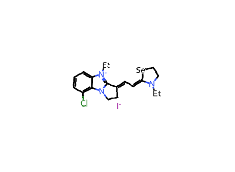 CCN1CC[Se]C1=CC=C1CCn2c1[n+](CC)c1cccc(Cl)c12.[I-]